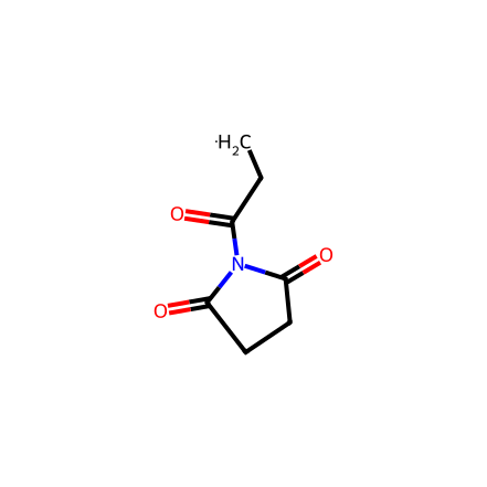 [CH2]CC(=O)N1C(=O)CCC1=O